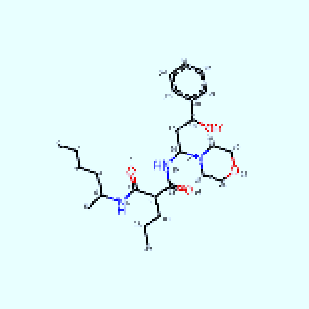 CCCCC(C)NC(=O)C(CCC)C(=O)NC(CC(O)c1ccccc1)N1CCOCC1